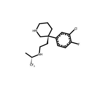 C[C@H](NCC[C@]1(c2ccc(F)c(Cl)c2)CCCNC1)C(F)(F)F